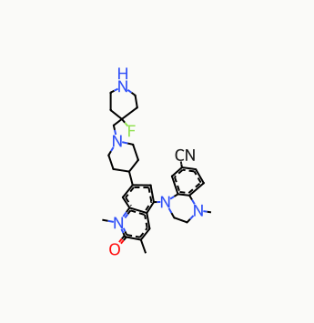 Cc1cc2c(N3CCN(C)c4ccc(C#N)cc43)cc(C3CCN(CC4(F)CCNCC4)CC3)cc2n(C)c1=O